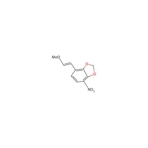 CO/C=C/c1ccc([N+](=O)[O-])c2c1OCO2